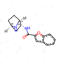 O=C(N[C@@H]1C[C@H]2CC[C@@H]1N2)c1cc2ccccc2o1